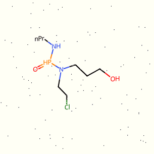 CCCN[PH](=O)N(CCCl)CCCO